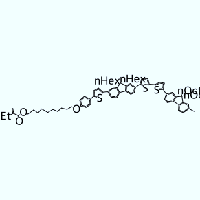 C=C(CC)C(=O)OCCCCCCCCCCOc1ccc(-c2ccc(-c3ccc4c(c3)C(CCCCCC)(CCCCCC)c3cc(-c5ccc(-c6ccc(-c7ccc8c(c7)C(CCCCCCCC)(CCCCCCCC)c7cc(C)ccc7-8)s6)s5)ccc3-4)s2)cc1